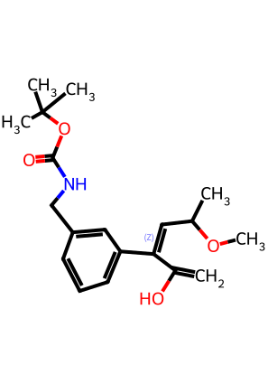 C=C(O)/C(=C\C(C)OC)c1cccc(CNC(=O)OC(C)(C)C)c1